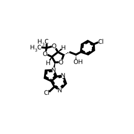 CC1(C)O[C@@H]2[C@H](O1)[C@H](C[C@@H](O)c1ccc(Cl)cc1)O[C@H]2n1ccc2c(Cl)ncnc21